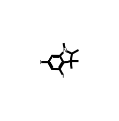 CC1N(C)c2cc(I)cc(I)c2C1(C)C